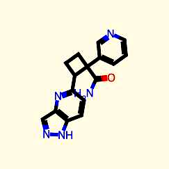 NC(=O)C1(c2cccnc2)CCC1c1ccc2[nH]ncc2n1